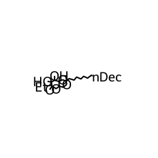 CCCCCCCCCCCCCCCCCC1OCC2OC(OCC)C(O)C(O)C2O1